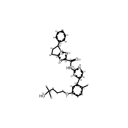 Cc1ccc(OCCCC(C)(C)O)cc1-c1ccnc(NC(=O)c2nc3n(n2)C(c2ccccc2)CC3)n1